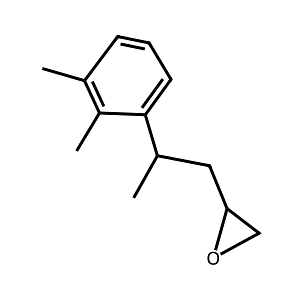 Cc1cccc(C(C)CC2CO2)c1C